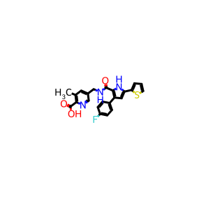 Cc1cc(CNC(=O)c2[nH]c(-c3cccs3)cc2-c2ccc(F)cc2)cnc1C(=O)O